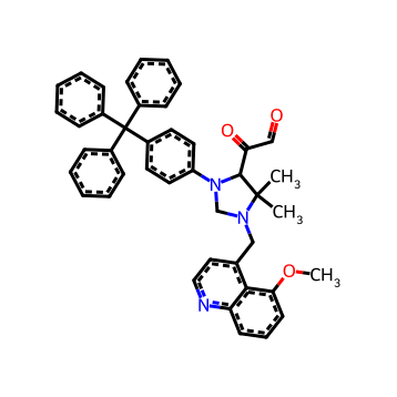 COc1cccc2nccc(CN3CN(c4ccc(C(c5ccccc5)(c5ccccc5)c5ccccc5)cc4)C(C(=O)C=O)C3(C)C)c12